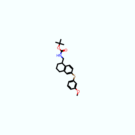 COc1cccc(Sc2ccc3c(c2)CCCC3CNC(=O)OC(C)(C)C)c1